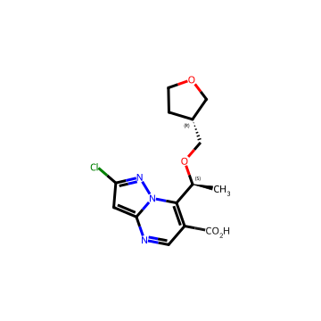 C[C@H](OC[C@@H]1CCOC1)c1c(C(=O)O)cnc2cc(Cl)nn12